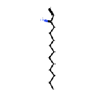 C=CC(=N)CCCCCCCCCCC